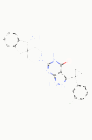 N[C@@H]1c2ccccc2CC12CCN(c1nc3[nH]nc(C4(c5cccc(Cl)c5)CC4)c3c(=O)[nH]1)CC2